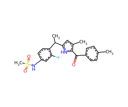 Cc1ccc(C(=O)c2[nH]c(C(C)c3ccc(NS(C)(=O)=O)cc3F)cc2C)cc1